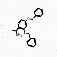 CC(N)c1ccc(OCc2ccccc2)cc1OCc1ccccc1